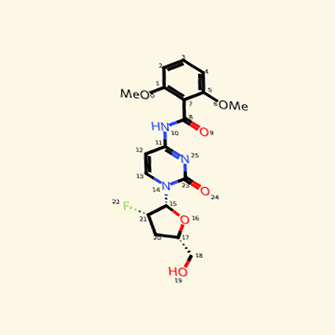 COc1cccc(OC)c1C(=O)Nc1ccn([C@@H]2O[C@H](CO)C[C@@H]2F)c(=O)n1